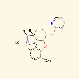 CC(=O)Oc1ccc2c3c1OC1C(Oc4ccccn4)CC[C@H]4[C@@H](C2)N(C)CC[C@]314